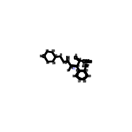 COC(=O)/C(=C(/C)NCCC1CCOCC1)c1ccccc1Br